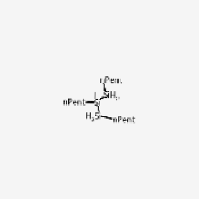 CCCCC[SiH2][SiH](CCCCC)[SiH2]CCCCC